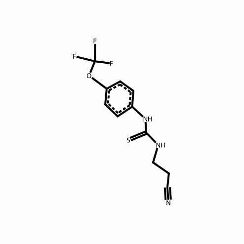 N#CCCNC(=S)Nc1ccc(OC(F)(F)F)cc1